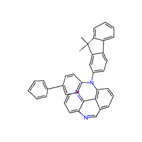 CC1(C)c2ccccc2-c2ccc(N(c3ccc(-c4ccccc4)cc3)c3cccc4cnc5cccnc5c34)cc21